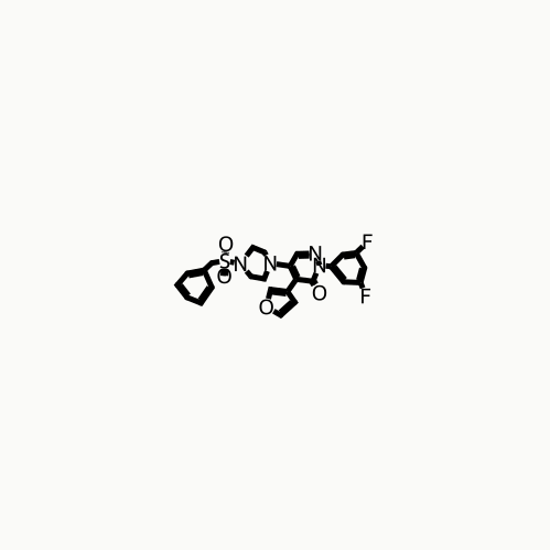 O=c1c(-c2ccoc2)c(N2CCN(S(=O)(=O)Cc3ccccc3)CC2)cnn1-c1cc(F)cc(F)c1